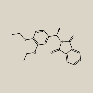 CCOc1ccc([C@@H](C)N2C(=O)c3ccccc3C2=O)cc1OCC